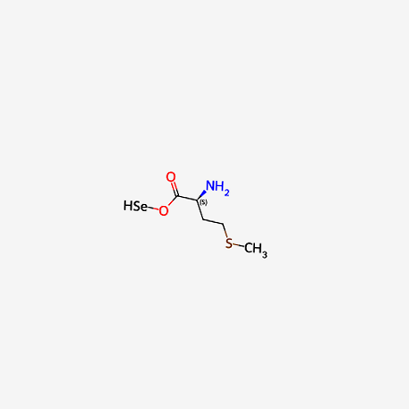 CSCC[C@H](N)C(=O)O[SeH]